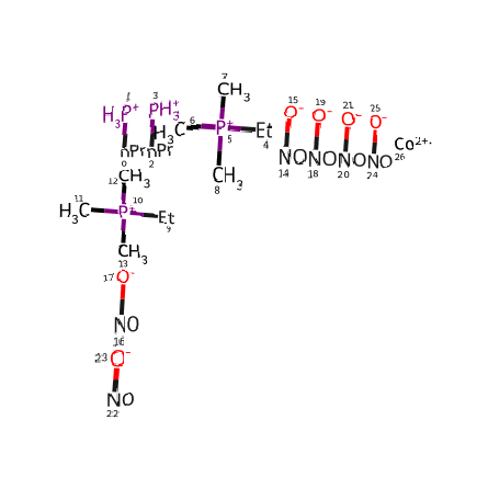 CCC[PH3+].CCC[PH3+].CC[P+](C)(C)C.CC[P+](C)(C)C.O=N[O-].O=N[O-].O=N[O-].O=N[O-].O=N[O-].O=N[O-].[Co+2]